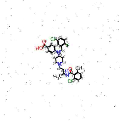 Cc1cccc(Cl)c1C(=O)NC(C)CCN1CCC(N(Cc2cc(Cl)ccc2F)c2ccc(C(=O)O)cc2)CC1